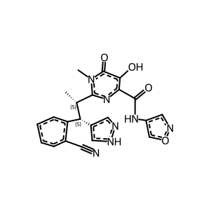 C[C@H](c1nc(C(=O)Nc2cnoc2)c(O)c(=O)n1C)[C@H](c1cn[nH]c1)c1ccccc1C#N